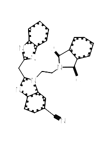 N#Cc1ccc2nc(Cc3nc4ccccc4[nH]3)n(CCN3C(=O)c4ccccc4C3=O)c2c1